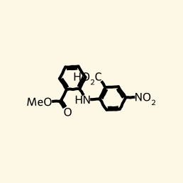 COC(=O)c1ccccc1Nc1ccc([N+](=O)[O-])cc1C(=O)O